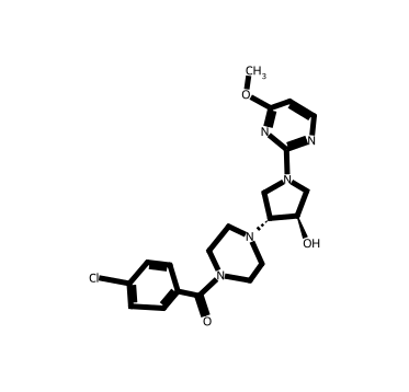 COc1ccnc(N2C[C@@H](O)[C@H](N3CCN(C(=O)c4ccc(Cl)cc4)CC3)C2)n1